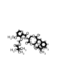 COc1ccnc(C(=O)N[C@H]2COC(=O)C(Cc3ccccc3)[C@@H](OC(=O)C(C)C)[C@H](C)OC2=O)c1OCOC(=O)C(C)(C)C